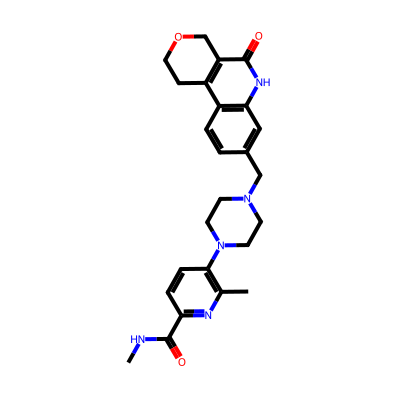 CNC(=O)c1ccc(N2CCN(Cc3ccc4c5c(c(=O)[nH]c4c3)COCC5)CC2)c(C)n1